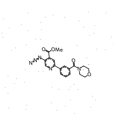 COC(=O)c1cc(-c2cccc(C(=O)N3CCOCC3)c2)ncc1N=[N+]=[N-]